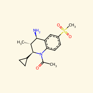 CC(=O)N1c2ccc(S(C)(=O)=O)cc2[C@H](N)[C@@H](C)[C@@H]1C1CC1